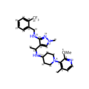 COc1nccc(C)c1N1CCC(NC(C)c2cn(C)nc2NCc2ccccc2C(F)(F)F)CC1